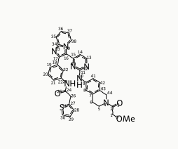 COCC(=O)N1CCc2cc(Nc3nccc(-c4c(-c5cccc(NC(=O)Cc6cccs6)c5)nc5ccccn45)n3)ccc2C1